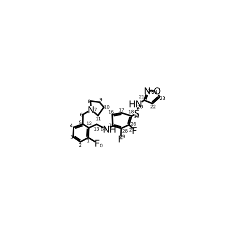 Fc1cccc(CN2CCCC2)c1CNc1ccc(SNc2ccon2)c(F)c1F